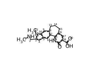 CNCc1cc2cc3c(cc2n1C)CCCc1cc(C(=O)O)c(=O)[nH]c1-3